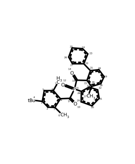 Cc1cc(C(C)(C)C)cc(C)c1C(=O)P(=O)(C(=O)c1c(C)cccc1-c1ccccc1)c1ccccc1